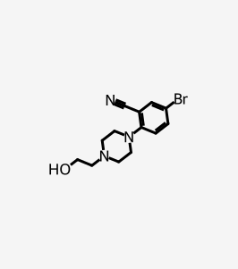 N#Cc1cc(Br)ccc1N1CCN(CCO)CC1